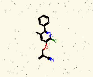 C=C(C#N)COc1cc(C)c(-c2ccccc2)nc1Cl